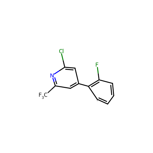 Fc1ccc[c]c1-c1cc(Cl)nc(C(F)(F)F)c1